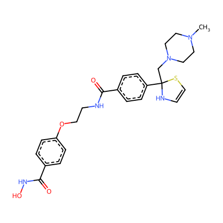 CN1CCN(CC2(c3ccc(C(=O)NCCOc4ccc(C(=O)NO)cc4)cc3)NC=CS2)CC1